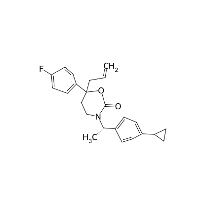 C=CCC1(c2ccc(F)cc2)CCN([C@@H](C)c2ccc(C3CC3)cc2)C(=O)O1